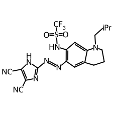 CC(C)CN1CCCc2cc(N=Nc3nc(C#N)c(C#N)[nH]3)c(NS(=O)(=O)C(F)(F)F)cc21